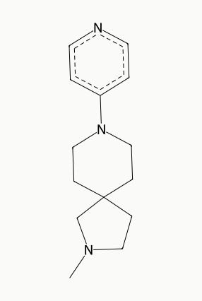 CN1CCC2(CCN(c3ccncc3)CC2)C1